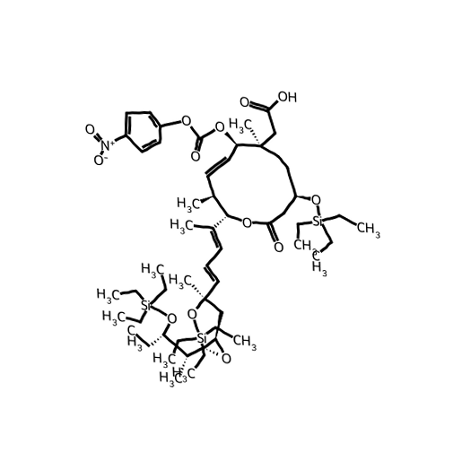 CC[C@H](O[Si](CC)(CC)CC)[C@@H](C)[C@H]1O[C@@H]1C[C@](C)(/C=C/C=C(\C)[C@H]1OC(=O)C[C@H](O[Si](CC)(CC)CC)CC[C@](C)(CC(=O)O)[C@H](OC(=O)Oc2ccc([N+](=O)[O-])cc2)/C=C/[C@@H]1C)O[Si](CC)(CC)CC